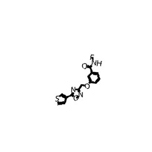 O=C(NF)c1cccc(OCc2noc(-c3ccsc3)n2)c1